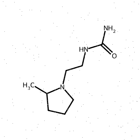 CC1CCCN1CCNC(N)=O